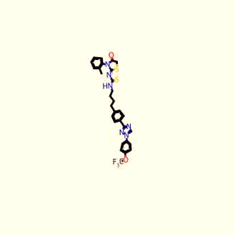 Cc1ccccc1N1C(=O)CS/C1=N\C(=S)NCCCCc1ccc(-c2ncn(-c3ccc(OC(F)(F)F)cc3)n2)cc1